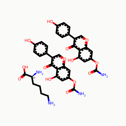 NC(=O)Oc1cc(O)c2c(=O)c(-c3ccc(O)cc3)coc2c1.NC(=O)Oc1cc(O)c2c(=O)c(-c3ccc(O)cc3)coc2c1.NCCCC[C@H](N)C(=O)O